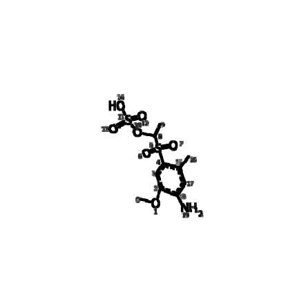 COc1cc(S(=O)(=O)C(C)OS(=O)(=O)O)c(C)cc1N